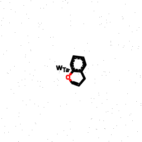 C1=COc2ccccc2C1.[Ta].[W]